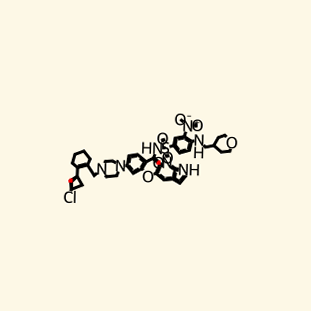 O=C(NS(=O)(=O)c1ccc(NCC2CCOCC2)c([N+](=O)[O-])c1)c1ccc(N2CCN(CC3=C(C45CC(Cl)(C4)C5)CCCC3)CC2)cc1Oc1cnc2[nH]ccc2c1